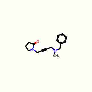 CN(CC#CCN1CCCC1=O)Cc1ccccc1